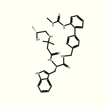 CNC(=O)Nc1ccccc1-c1ccc(CNC(=O)[C@@H](Cc2c[nH]c3ccccc23)NC(=O)CC(C)(C)NC[C@@H](C)O)cc1